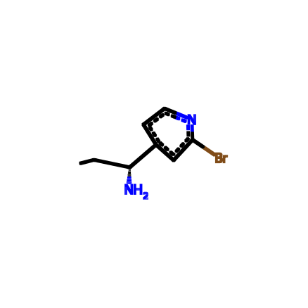 CC[C@@H](N)c1ccnc(Br)c1